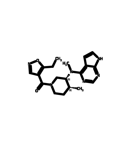 CCc1oncc1C(=O)N1CC[C@@H](C)[C@@H](N(C)c2ncnc3[nH]ccc23)C1